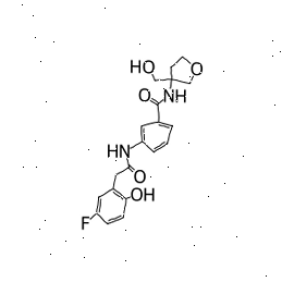 O=C(Cc1cc(F)ccc1O)Nc1cccc(C(=O)NC2(CO)CCOC2)c1